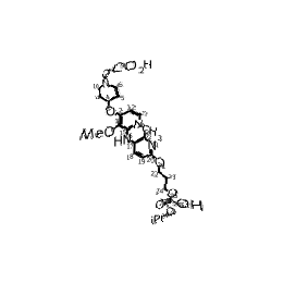 COc1c(OC2CCN(OC(=O)O)CC2)ccnc1Nc1ccc(OCCCOP(=O)(O)OC(C)C)nc1C